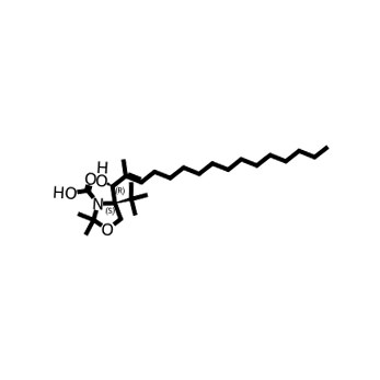 CCCCCCCCCCCCCC=C(C)[C@@H](O)[C@]1(C(C)(C)C)COC(C)(C)N1C(=O)O